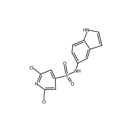 O=S(=O)(Nc1ccc2[nH]ccc2c1)c1cc(Cl)nc(Cl)c1